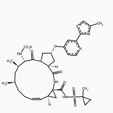 Cc1csc(-c2cc(O[C@@H]3C[C@H]4C(=O)N[C@]5(C(=O)NS(=O)(=O)C6(C)CC6)C[C@H]5/C=C\CC[C@@H](C)C[C@@H](C)[C@H](NC(=O)O)C(=O)N4C3)ccn2)n1